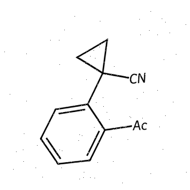 CC(=O)c1ccccc1C1(C#N)CC1